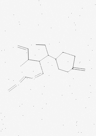 C=C=C/N=C\C(C(C)C=C)C(CC)C1CCC(=C)CC1